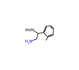 CNC(CN)c1ccccc1C